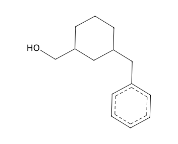 OCC1CCCC(Cc2ccccc2)C1